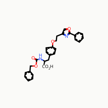 O=C(NC(Cc1ccc(OCCc2coc(-c3ccccc3)n2)cc1)C(=O)O)OCc1ccccc1